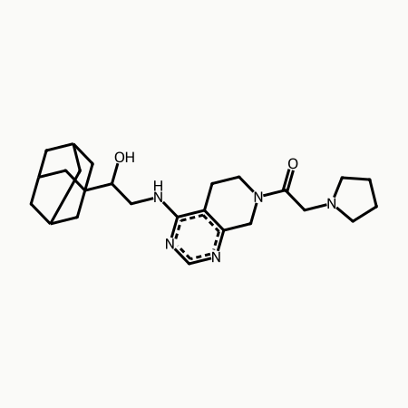 O=C(CN1CCCC1)N1CCc2c(ncnc2NCC(O)C23CC4CC(CC(C4)C2)C3)C1